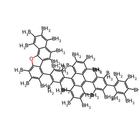 Bc1c(B)c(B)c(-c2c(B)c(B)c(-c3c4c(B)c(B)c(B)c(B)c4c(-c4c(B)c(B)c(-c5c(B)c(B)c(B)c6oc7c8c(B)c(B)c(B)c(B)c8c(B)c(B)c7c56)c(B)c4B)c4c(B)c(B)c(B)c(B)c34)c(B)c2B)c(B)c1B